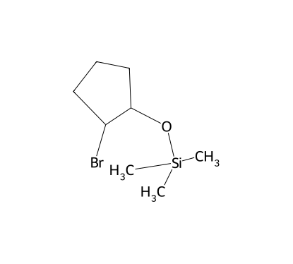 C[Si](C)(C)OC1CCCC1Br